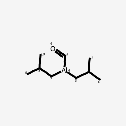 CC(C)[CH2][Al]([CH]=O)[CH2]C(C)C